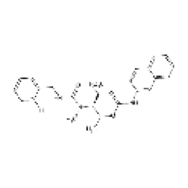 CC(OC(=O)Nc1cc2ccccc2cn1)[C@H](CC(=O)O)N(C)C(=O)NCc1ccccc1Cl